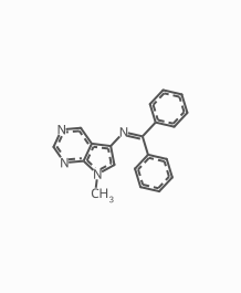 Cn1cc(N=C(c2ccccc2)c2ccccc2)c2cncnc21